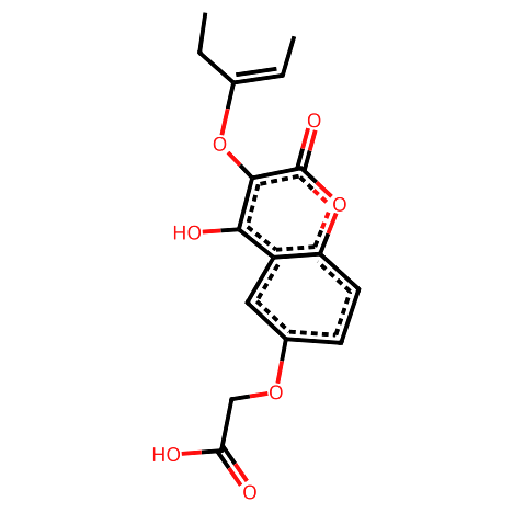 CC=C(CC)Oc1c(O)c2cc(OCC(=O)O)ccc2oc1=O